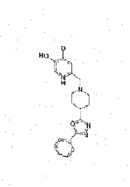 O=c1cc(CN2CCC(c3nnc(-c4ccccc4)o3)CC2)[nH]cc1O